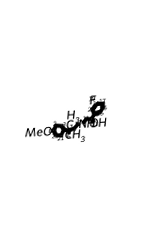 COC1CCC(C(C)(C)CCNCC(O)c2cccc(F)c2)CC1